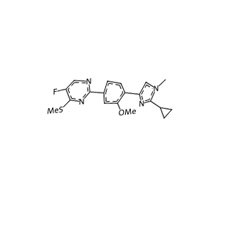 COc1cc(-c2ncc(F)c(SC)n2)ccc1-c1cn(C)c(C2CC2)n1